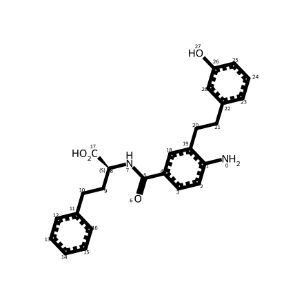 Nc1ccc(C(=O)N[C@@H](CCc2ccccc2)C(=O)O)cc1CCc1cccc(O)c1